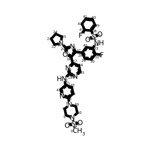 CS(=O)(=O)N1CCN(c2ccc(Nc3nccc(-c4oc(N5CCCC5)nc4-c4ccc(F)c(NS(=O)(=O)C5=CC=CCC5F)c4)n3)cn2)CC1